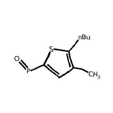 CCCCc1sc(P=O)cc1C